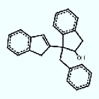 OC1Cc2ccccc2C1(Cc1ccccc1)C1=Cc2ccccc2C1